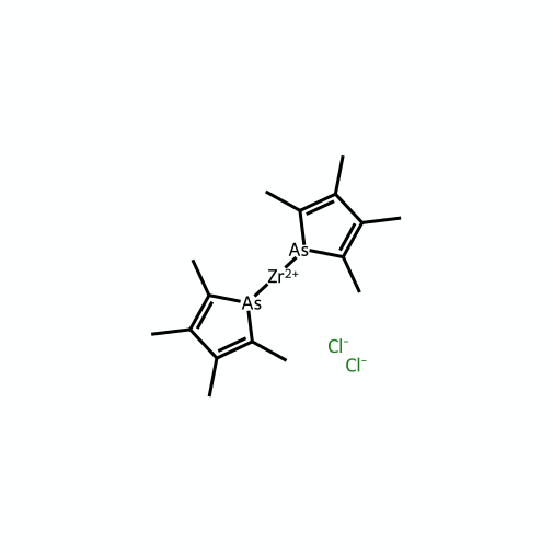 CC1=C(C)[As]([Zr+2][As]2C(C)=C(C)C(C)=C2C)C(C)=C1C.[Cl-].[Cl-]